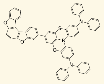 c1ccc(N(c2ccccc2)c2ccc3c(c2)Oc2cc(-c4ccc5c(c4)oc4ccc6oc7ccccc7c6c45)cc4c2B3c2ccc(N(c3ccccc3)c3ccccc3)cc2S4)cc1